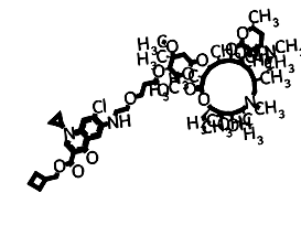 CC[C@H]1OC(=O)[C@H](C)[C@@H](OC2C[C@](C)(OC)[C@@H](OC(=O)CCOCCNc3cc4c(=O)c(C(=O)OCC5CCC5)cn(C5CC5)c4cc3Cl)[C@H](C)O2)[C@H](C)[C@@H](OC2O[C@H](C)C[C@H](N(C)C)[C@H]2O)[C@](C)(O)C[C@@H](C)CN(C)[C@H](C)[C@@H](O)[C@]1(C)O